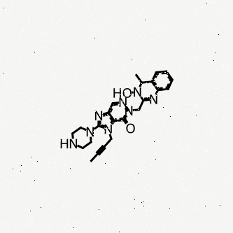 CC#CCn1c(N2CCNCC2)nc2cnn(CC3=Nc4ccccc4C(C)N3O)c(=O)c21